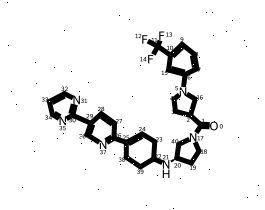 O=C(C1CCN(c2cccc(C(F)(F)F)c2)C1)N1CC[C@H](NC2CC=C(c3ccc(-c4ncccn4)cn3)CC2)C1